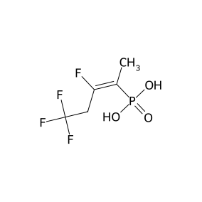 CC(=C(F)CC(F)(F)F)P(=O)(O)O